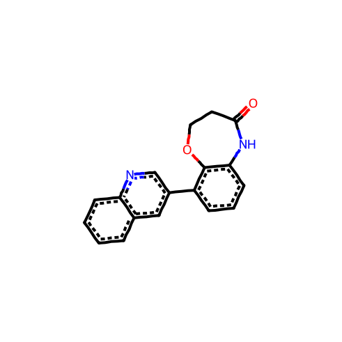 O=C1CCOc2c(cccc2-c2cnc3ccccc3c2)N1